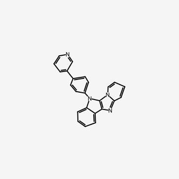 c1cncc(-c2ccc(-n3c4ccccc4c4nc5ccccn5c43)cc2)c1